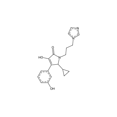 O=C1C(O)=C(c2cccc(O)c2)C(C2CC2)N1CCCn1ccnc1